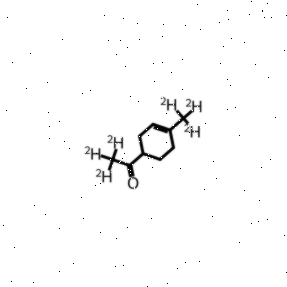 [2H]C([2H])([2H])C(=O)C1CC=C(C([2H])([2H])[2H])CC1